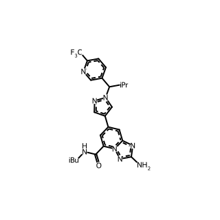 CCC(C)NC(=O)c1cc(-c2cnn(C(c3ccc(C(F)(F)F)nc3)C(C)C)c2)cc2nc(N)nn12